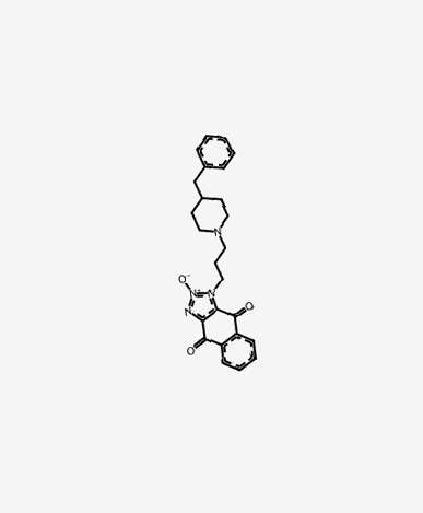 O=C1c2ccccc2C(=O)c2c1n[n+]([O-])n2CCCN1CCC(Cc2ccccc2)CC1